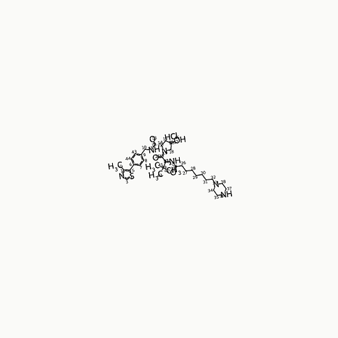 Cc1ncsc1-c1ccc(CNC(=O)[C@@H]2C[C@@H](O)CN2C(=O)[C@@H](NC(=O)CCCCCCCN2CCNCC2)C(C)(C)C)cc1.Cl